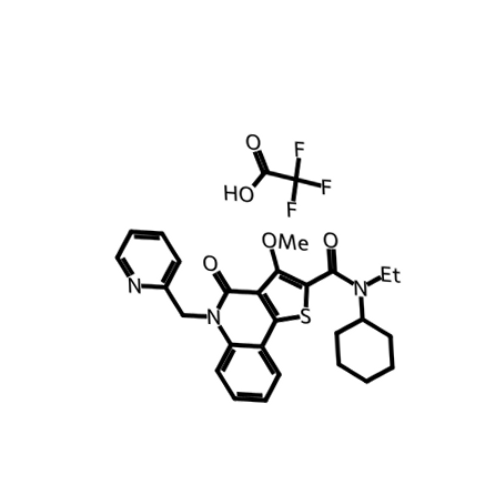 CCN(C(=O)c1sc2c(c1OC)c(=O)n(Cc1ccccn1)c1ccccc21)C1CCCCC1.O=C(O)C(F)(F)F